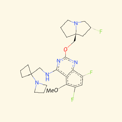 COc1c(F)cc(F)c2nc(OC[C@@]34CCCN3C[C@H](F)C4)nc(NCC3(N4CCC4)CCC3)c12